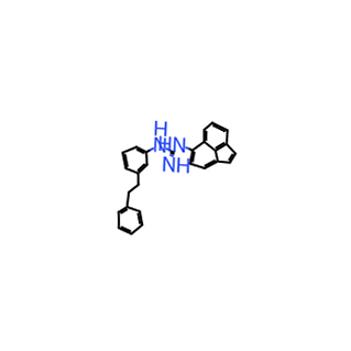 N=C(Nc1cccc(CCc2ccccc2)c1)Nc1ccc2c3c(cccc13)C=C2